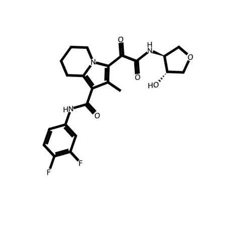 Cc1c(C(=O)Nc2ccc(F)c(F)c2)c2n(c1C(=O)C(=O)N[C@H]1COC[C@@H]1O)CCCC2